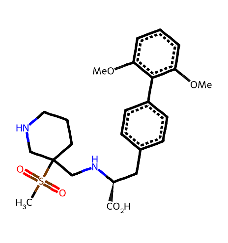 COc1cccc(OC)c1-c1ccc(C[C@H](NCC2(S(C)(=O)=O)CCCNC2)C(=O)O)cc1